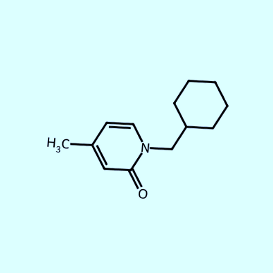 Cc1ccn(CC2CCCCC2)c(=O)c1